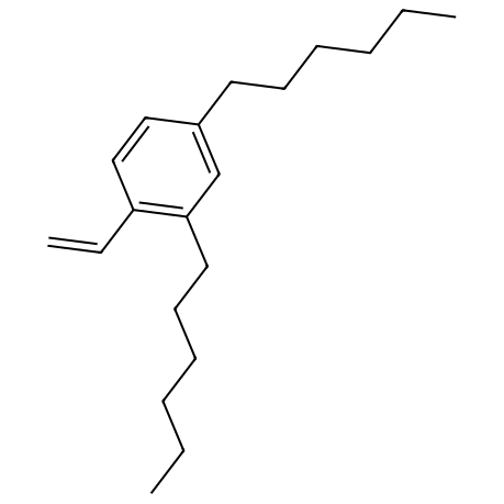 C=Cc1ccc(CCCCCC)cc1CCCCCC